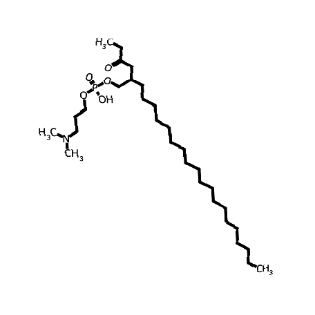 CCCCCCCCCCCCCCCCCCCC(COP(=O)(O)OCCCN(C)C)CC(=O)CC